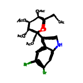 CC(=O)OC[C@H]1O[C@](OC(C)=O)(c2c[nH]c3cc(Br)c(Br)cc23)[C@H](OC(C)=O)[C@@H](OC(C)=O)[C@H]1OC(C)=O